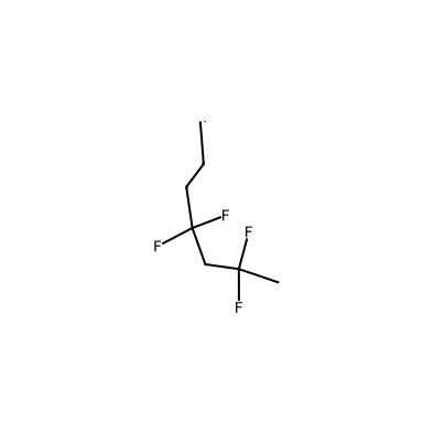 [CH2]CCC(F)(F)CC(C)(F)F